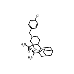 CC1(C(N)=O)CN(Cc2ccc(Cl)cc2)CCC1C1C2CC3CC(C2)CC1(C(N)=O)C3